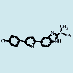 CC(C)N(C)c1nc2cc(-c3ccc(-c4ccc(Cl)cc4)cn3)ccc2[nH]1